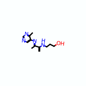 C=C(NCCCO)/C(C)=N/c1cncnc1C